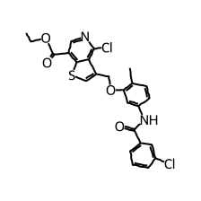 CCOC(=O)c1cnc(Cl)c2c(COc3cc(NC(=O)c4cccc(Cl)c4)ccc3C)csc12